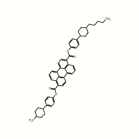 CCCCCC1CCC(c2ccc(OC(=O)c3ccc4c5cccc6c(C(=O)Oc7ccc(C8CCC(C)CC8)cc7)ccc(c7cccc3c74)c65)cc2)CC1